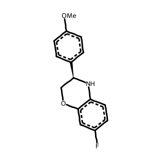 COc1ccc([C@@H]2COc3cc(F)ccc3N2)cc1